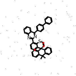 CC1(C)c2ccccc2C2(c3ccccc3Sc3c(-c4nc(-c5ccc(-c6ccccc6)cc5)c5ccccc5n4)cccc32)c2ccccc21